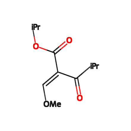 COC=C(C(=O)OC(C)C)C(=O)C(C)C